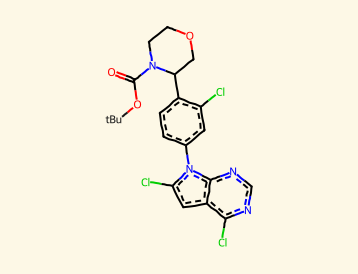 CC(C)(C)OC(=O)N1CCOCC1c1ccc(-n2c(Cl)cc3c(Cl)ncnc32)cc1Cl